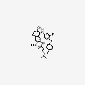 CCOc1cc2ncc(C#N)c(Nc3ccc(Oc4ccc(F)cc4)c(F)c3)c2cc1NC(=O)/C=C/CN(C)C